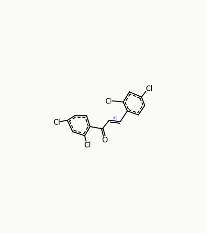 O=C(/C=C/c1ccc(Cl)cc1Cl)c1ccc(Cl)cc1Cl